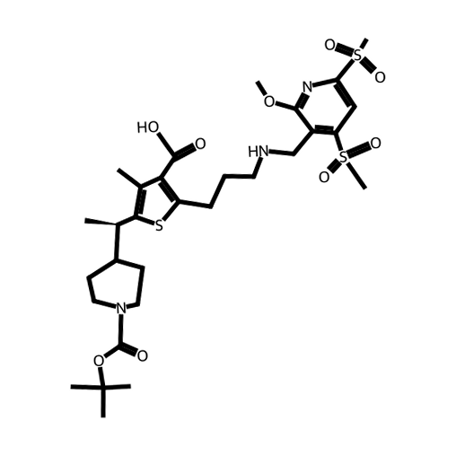 COc1nc(S(C)(=O)=O)cc(S(C)(=O)=O)c1CNCCCc1sc([C@H](C)C2CCN(C(=O)OC(C)(C)C)CC2)c(C)c1C(=O)O